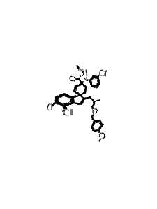 COC(=O)C1(Nc2cccc(Cl)c2)CCC2(CC1)C(C[C@@H](C)COCc1ccc(OC)cc1)=Cc1c2ccc(Cl)c1Cl